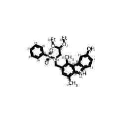 CCOC(CN(Cc1cc(C)c2[nH]c3ccc(O)cc3c2c1C)S(=O)(=O)c1ccccc1)OCC